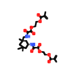 C=C(C)C(=O)OCCOC(=O)C(=O)NCC1(C)CC(NC(=O)C(=O)OCCOC(=O)C(=C)C)CC(C)(C)C1